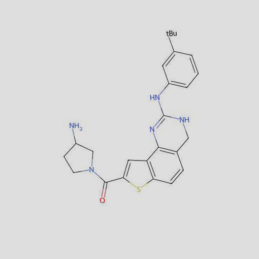 CC(C)(C)c1cccc(NC2=Nc3c(ccc4sc(C(=O)N5CCC(N)C5)cc34)CN2)c1